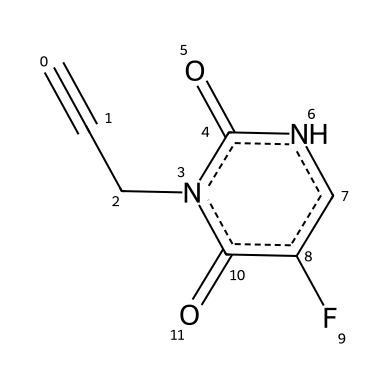 C#CCn1c(=O)[nH]cc(F)c1=O